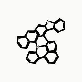 c1ccc(-c2ccccc2N(c2ccccc2-c2cccc3sc4ccccc4c23)c2cccc3ccccc23)cc1